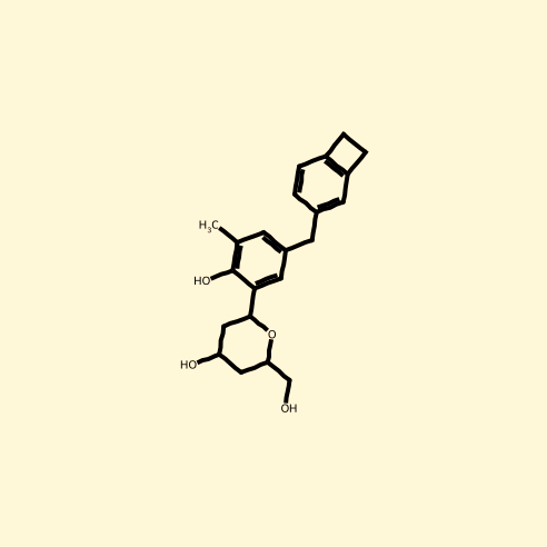 Cc1cc(Cc2ccc3c(c2)CC3)cc(C2CC(O)CC(CO)O2)c1O